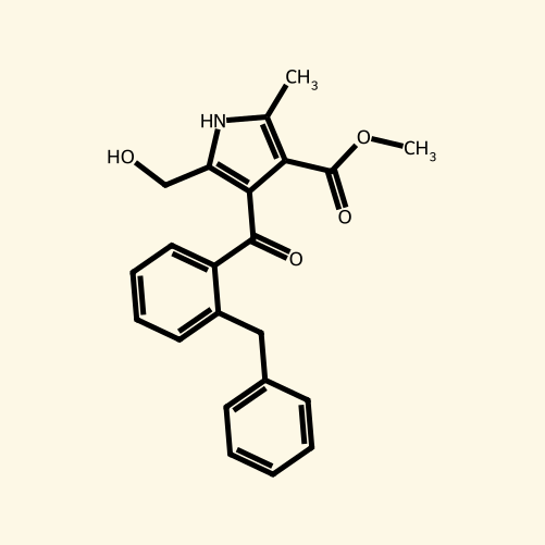 COC(=O)c1c(C)[nH]c(CO)c1C(=O)c1ccccc1Cc1ccccc1